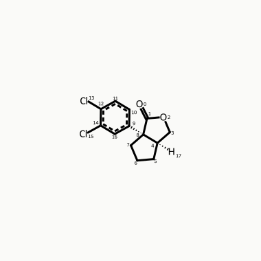 O=C1OC[C@H]2CCC[C@@]12c1ccc(Cl)c(Cl)c1